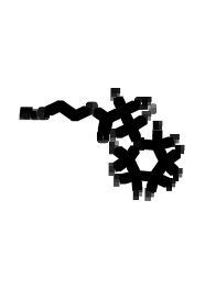 COCCOC(=O)C(F)(C(F)(F)F)C(F)(F)N1C(F)(F)C(F)(F)C(F)(F)C(F)(F)C1(F)F